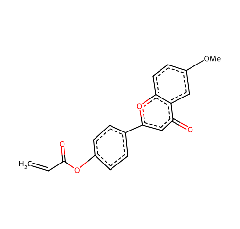 C=CC(=O)Oc1ccc(-c2cc(=O)c3cc(OC)ccc3o2)cc1